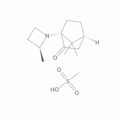 CS(=O)(=O)O.C[C@H]1CCN1[C@@]12CC[C@@H](CC1=O)C2(C)C